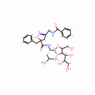 CC(C)C[C@H](NC(=O)C1(Cc2ccccc2)CC(CNC(=O)c2ccccc2)=NO1)B1OC(CO)C(C(O)C(O)CO)O1